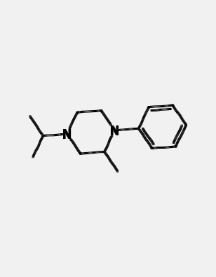 CC(C)N1CCN(c2ccccc2)C(C)C1